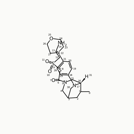 CC1CC2CN(C(=O)SS(=O)(=O)CCN)C[C@H]1N(c1ccc(N3CCOCC3)cc1)C2